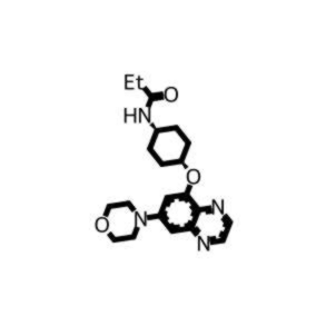 CCC(=O)N[C@H]1CC[C@@H](Oc2cc(N3CCOCC3)cc3nccnc23)CC1